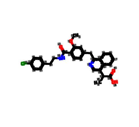 COc1cc(Cc2ncc(C(C)C(=O)O)c3ccccc23)ccc1C(=O)NCCc1ccc(Cl)cc1